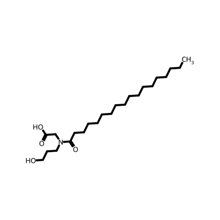 CCCCCCCCCCCCCCCCCC(=O)N(CCCO)CC(=O)O